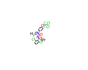 CC(C)O/C(=N\C(=O)N(C)c1ccc(OC(F)(F)C(Cl)Cl)cc1)c1c(Cl)cccc1Cl